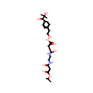 CC(C)OC(=O)CC(=O)NCCNC(=O)CC(=O)OOCCc1ccc(C(=O)C(C)(C)O)cc1